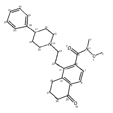 CON(C)C(=O)c1ccc2c(c1CCN1CCC(c3ccccc3)CC1)CCCC2=O